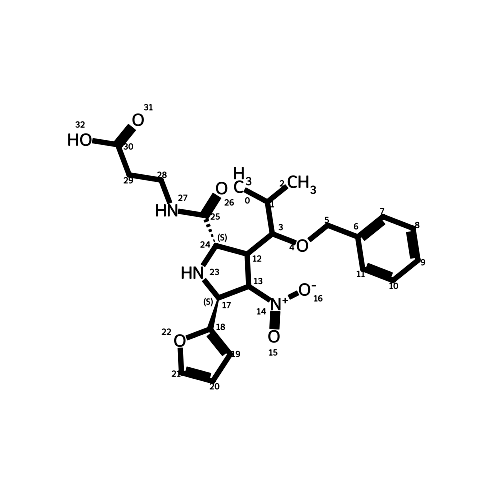 CC(C)C(OCc1ccccc1)C1C([N+](=O)[O-])[C@@H](c2ccco2)N[C@@H]1C(=O)NCCC(=O)O